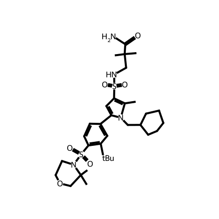 Cc1c(S(=O)(=O)NCC(C)(C)C(N)=O)cc(-c2ccc(S(=O)(=O)N3CCOCC3(C)C)c(C(C)(C)C)c2)n1CC1CCCCC1